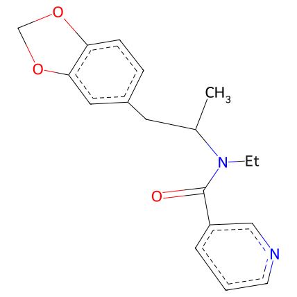 CCN(C(=O)c1cccnc1)C(C)Cc1ccc2c(c1)OCO2